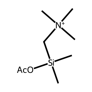 CC(=O)O[Si](C)(C)C[N+](C)(C)C